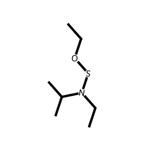 CCOSN(CC)C(C)C